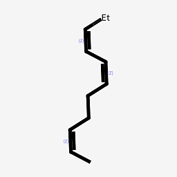 C/C=C\CC/C=C\C=C/CC